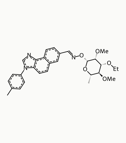 CCO[C@@H]1[C@@H](OC)[C@H](C)O[C@H](ON=Cc2ccc3c(ccc4c3ncn4-c3ccc(C)cc3)c2)[C@@H]1OC